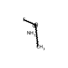 CCCCCCCCCCCCCCCCCCOS(=O)(=O)CCCCCCCCCCF.N